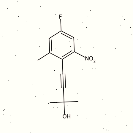 Cc1cc(F)cc([N+](=O)[O-])c1C#CC(C)(C)O